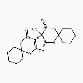 CC1(C2=C(O)OC3(CCCCC3)OC2=O)C(=O)OC2(CCCCC2)OC1=O